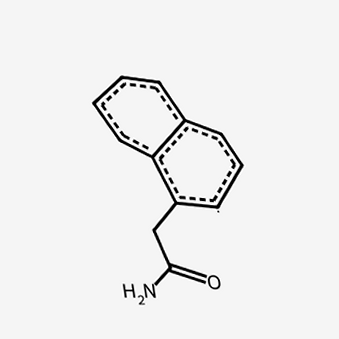 NC(=O)Cc1[c]ccc2ccccc12